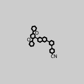 N#Cc1ccc(-c2cccc(-c3ccc4cc(-c5c6oc7ccccc7c6cc6oc7ccccc7c56)ccc4c3)c2)cc1